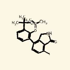 C[SiH](C)Oc1c(-c2ccc(I)c3c2CNC3=O)cccc1C(C)(C)C